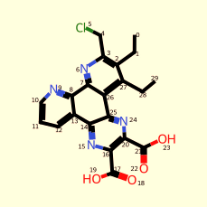 CCc1c(CCl)nc2c3ncccc3c3nc(C(=O)O)c(C(=O)O)nc3c2c1CC